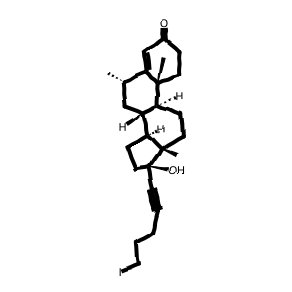 C[C@H]1C[C@@H]2[C@H](CC[C@@]3(C)[C@H]2CC[C@@]3(O)C#CCCCI)[C@@]2(C)CCC(=O)C=C12